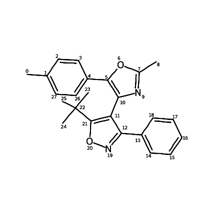 Cc1ccc(-c2oc(C)nc2-c2c(-c3ccccc3)noc2C(C)(C)C)cc1